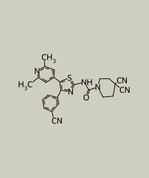 Cc1cc(-c2sc(NC(=O)N3CCC(C#N)(C#N)CC3)nc2-c2cccc(C#N)c2)cc(C)n1